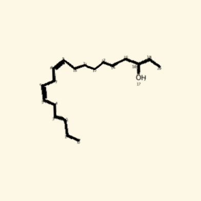 CCCCC/C=C\C/C=C\CCCCCCC(O)CC